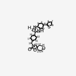 Nc1ccc(-c2cccs2)cc1NC(=O)c1ccc(CN2CC3(CCOCC3)OC2=O)cc1